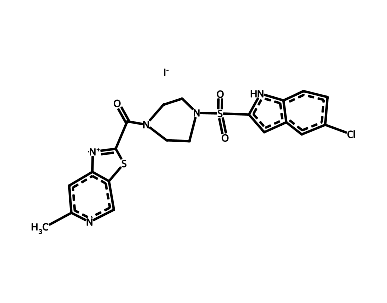 Cc1cc2c(cn1)SC(C(=O)N1CCN(S(=O)(=O)c3cc4cc(Cl)ccc4[nH]3)CC1)=[N+]2.[I-]